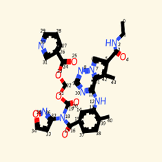 CCNC(=O)c1cn2ncnc(Nc3cc(C(=O)N(C(=O)OCOC(=O)c4cccnc4)c4ccon4)ccc3C)c2c1C